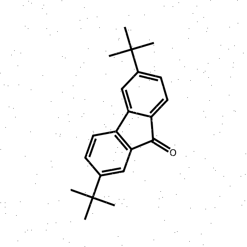 CC(C)(C)c1ccc2c(c1)C(=O)c1ccc(C(C)(C)C)cc1-2